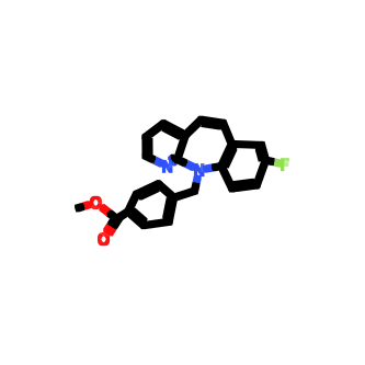 COC(=O)c1ccc(CN2c3ccc(F)cc3C=Cc3cccnc32)cc1